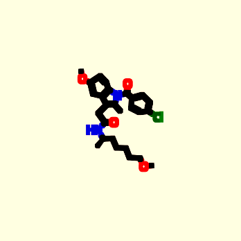 COCCCCC[C@@H](C)NC(=O)Cc1c(C)n(C(=O)c2ccc(Cl)cc2)c2ccc(OC)cc12